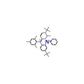 C=[N+](c1ccccc1)c1cc(C(C)(C)C)ccc1/C(=C1/C=CC(C(C)(C)C)C(C)C1)c1c(C)cc(C)cc1C